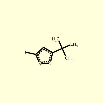 CC(C)(C)c1cc(I)ns1